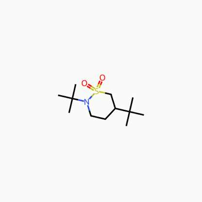 CC(C)(C)C1CCN(C(C)(C)C)S(=O)(=O)C1